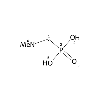 CN[CH]P(=O)(O)O